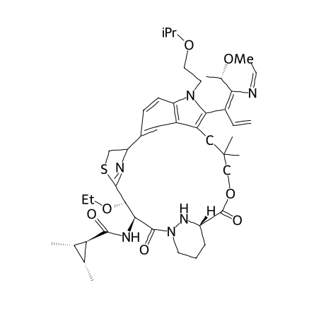 C=C/C(=C(\N=C/C)[C@H](C)OC)c1c2c3cc(ccc3n1CCOC(C)C)C1CSC(=N1)[C@@H](OCC)[C@H](NC(=O)[C@H]1[C@H](C)[C@@H]1C)C(=O)N1CCC[C@H](N1)C(=O)OCC(C)(C)C2